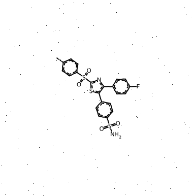 Cc1ccc(S(=O)(=O)c2nc(-c3ccc(F)cc3)c(-c3ccc(S(N)(=O)=O)cc3)s2)cc1